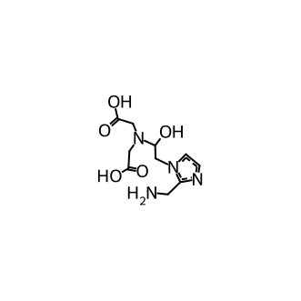 NCc1nccn1CC(O)N(CC(=O)O)CC(=O)O